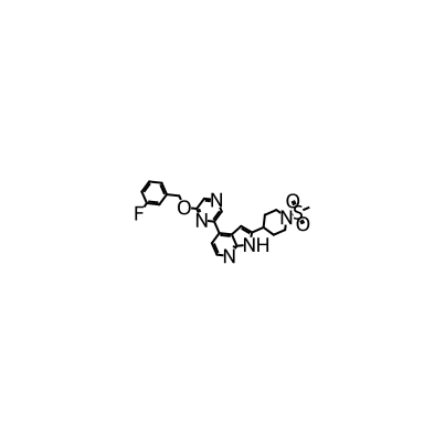 CS(=O)(=O)N1CCC(c2cc3c(-c4cncc(OCc5cccc(F)c5)n4)ccnc3[nH]2)CC1